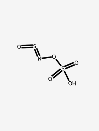 O=S=NOS(=O)(=O)O